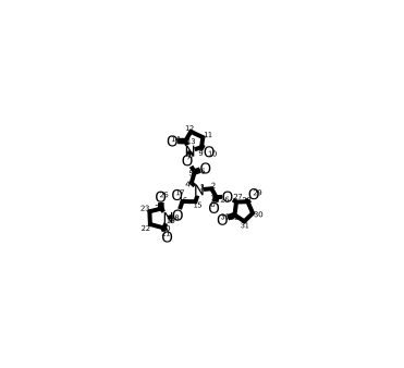 O=C(CN(CC(=O)ON1C(=O)CCC1=O)CC(=O)ON1C(=O)CCC1=O)OC1C(=O)CCC1=O